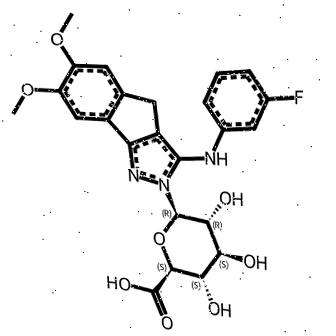 COc1cc2c(cc1OC)-c1nn([C@@H]3O[C@H](C(=O)O)[C@@H](O)[C@H](O)[C@H]3O)c(Nc3cccc(F)c3)c1C2